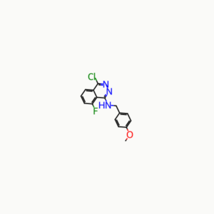 COc1ccc(CNc2nnc(Cl)c3cccc(F)c23)cc1